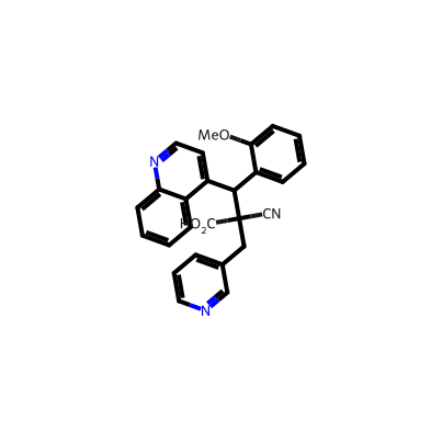 COc1ccccc1C(c1ccnc2ccccc12)C(C#N)(Cc1cccnc1)C(=O)O